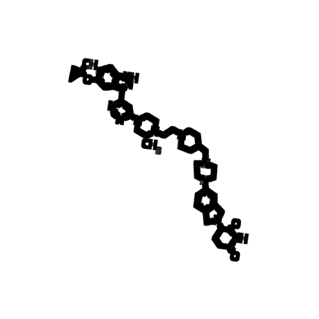 C[C@H]1CN(c2cc(-c3n[nH]c4ccc(OC5(C)CC5)cc34)ncn2)CCN1CCN1CCC(CN2CCN(c3ccc4c(c3)CN(C3CCC(=O)NC3=O)C4)CC2)CC1